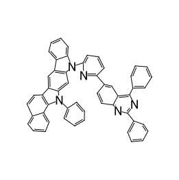 c1ccc(-c2nc(-c3ccccc3)c3cc(-c4cccc(-n5c6ccccc6c6cc7c8ccc9ccccc9c8n(-c8ccccc8)c7cc65)n4)ccc3n2)cc1